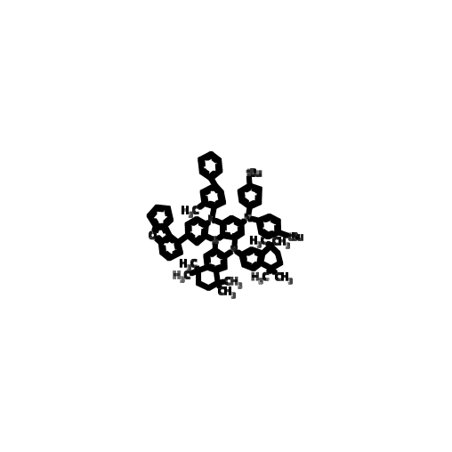 Cc1cc(-c2ccccc2)ccc1N1c2ccc(-c3cccc4oc5ccccc5c34)cc2B2c3cc4c(cc3N(c3ccc5c(c3)C(C)(C)CCC5(C)C)c3cc(N(c5ccc(C(C)(C)C)cc5)c5ccc(C(C)(C)C)cc5)cc1c32)C(C)(C)CCC4(C)C